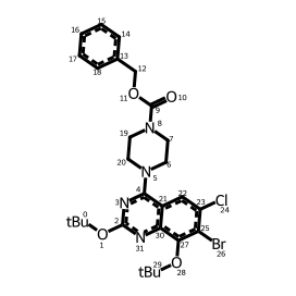 CC(C)(C)Oc1nc(N2CCN(C(=O)OCc3ccccc3)CC2)c2cc(Cl)c(Br)c(OC(C)(C)C)c2n1